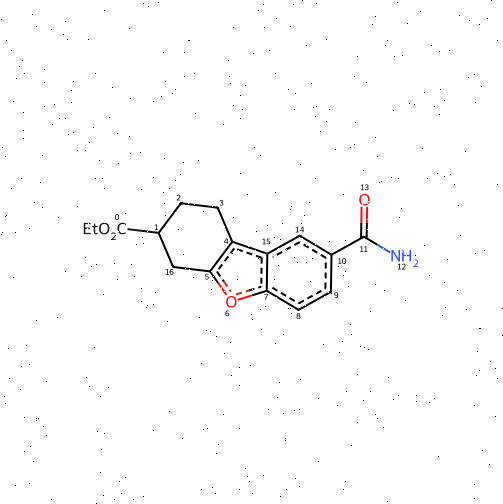 CCOC(=O)C1CCc2c(oc3ccc(C(N)=O)cc23)C1